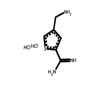 Cl.Cl.N=C(N)c1cc(CN)cs1